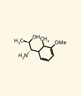 COC1=CC=CC([C@H](N)[C@@H](C)O)C1C